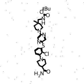 CC1(CNC(=O)OC(C)(C)C)CCN(c2cnc(Sc3cccc(N4CCC(C(N)=O)CC4)c3Cl)cn2)CC1